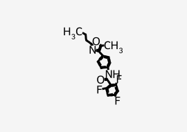 CCCc1nc(-c2ccc(NC(=O)c3c(F)cc(F)cc3F)cc2)c(C)o1